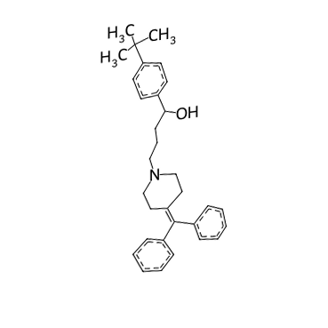 CC(C)(C)c1ccc(C(O)CCCN2CCC(=C(c3ccccc3)c3ccccc3)CC2)cc1